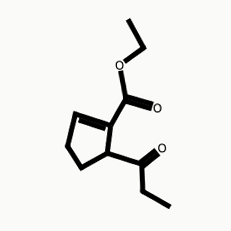 CCOC(=O)C1=CCCC1C(=O)CC